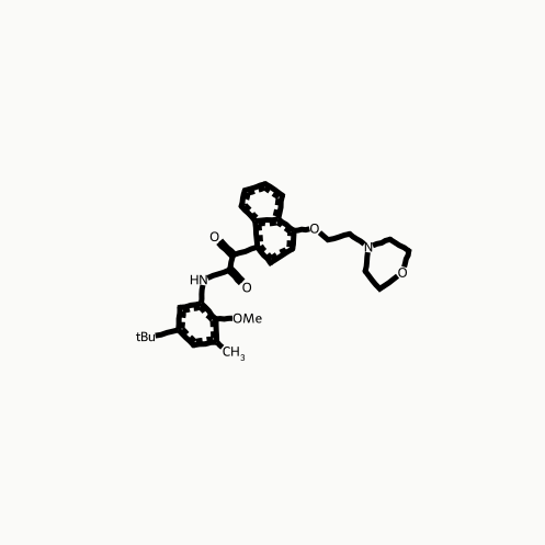 COc1c(C)cc(C(C)(C)C)cc1NC(=O)C(=O)c1ccc(OCCN2CCOCC2)c2ccccc12